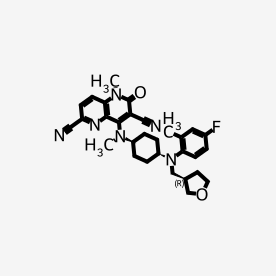 Cc1cc(F)ccc1N(C[C@H]1CCOC1)[C@H]1CC[C@H](N(C)c2c(C#N)c(=O)n(C)c3ccc(C#N)nc23)CC1